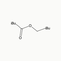 CCC(C)COC(=O)C(C)CC